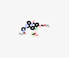 COCCOc1ccc(C(N)=O)c(-c2cc(C(CN[C@@H]3CCCN(C(C)=O)C3)c3ccccc3)ccc2Cl)c1F.O=C(O)C(F)(F)F